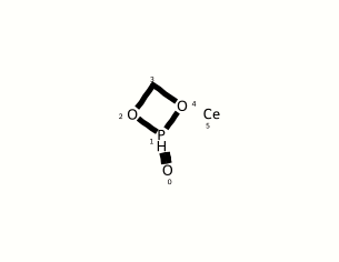 O=[PH]1OCO1.[Ce]